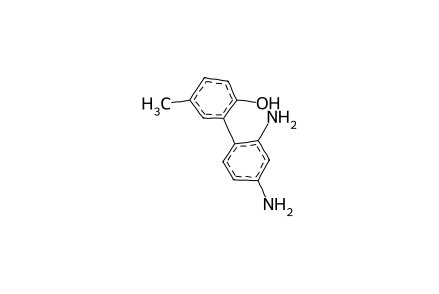 Cc1ccc(O)c(-c2ccc(N)cc2N)c1